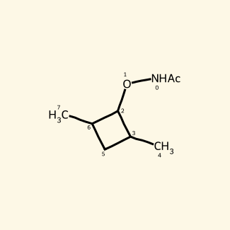 CC(=O)NOC1C(C)CC1C